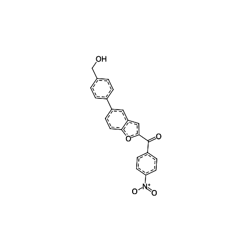 O=C(c1ccc([N+](=O)[O-])cc1)c1cc2cc(-c3ccc(CO)cc3)ccc2o1